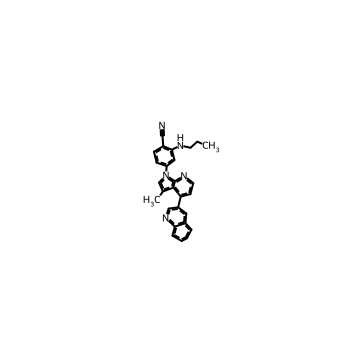 CCCNc1cc(-n2cc(C)c3c(-c4cnc5ccccc5c4)ccnc32)ccc1C#N